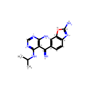 CC(C)Nc1ncnc(N)c1C(=N)c1ccc2nc(N)oc2c1